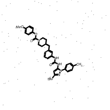 COc1ccc(OC(=O)N2CCC(Cc3cccc(NC(=O)Nc4cc(C(C)(C)C)nn4-c4ccc(C)cc4)c3)CC2)cc1